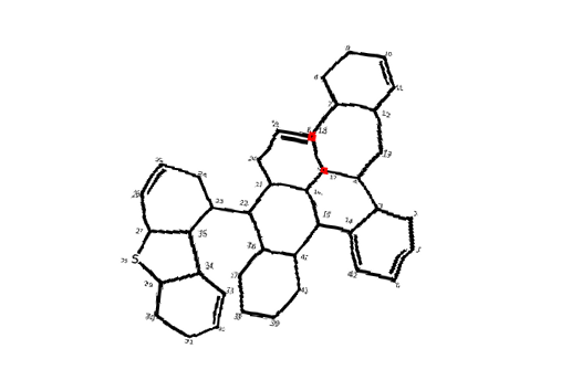 C1=CCC(C2CCC3CCC=CC3C2)C(C2C3CC=CCC3C(C3CC=CC4SC5CCC=CC5C43)C3CCCCC32)=C1